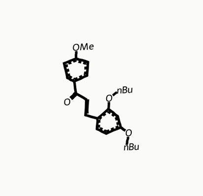 CCCCOc1ccc(C=CC(=O)c2ccc(OC)cc2)c(OCCCC)c1